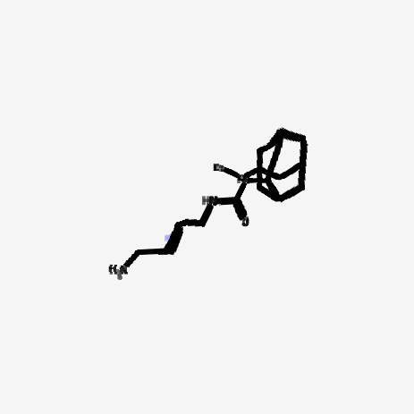 CCOC12CC3CC(C1)C(NC(=O)NC/C=C/CN)C(C3)C2